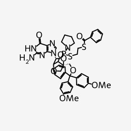 COc1ccc(C(OC[C@]23COC(C2OP(SCCSC(=O)c2ccccc2)N2CCCC2)[C@H](n2cnc4c(=O)[nH]c(N)nc42)O3)(c2ccccc2)c2ccc(OC)cc2)cc1